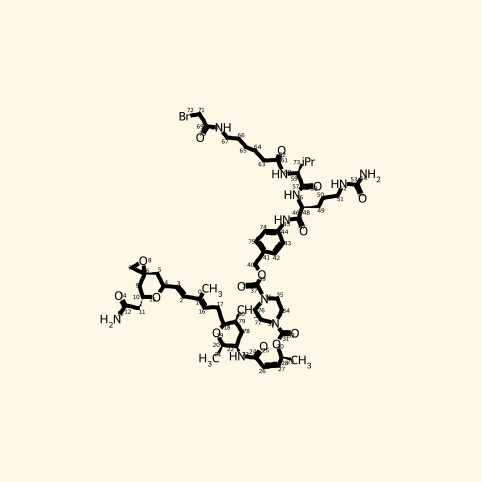 CC(/C=C/C1C[C@]2(CO2)C[C@@H](CC(N)=O)O1)=C\CC1O[C@H](C)[C@H](NC(=O)/C=C\[C@H](C)OC(=O)N2CCN(C(=O)OCc3ccc(NC(=O)[C@H](CCCNC(N)=O)NC(=O)[C@@H](NC(=O)CCCCCNC(=O)CBr)C(C)C)cc3)CC2)C[C@@H]1C